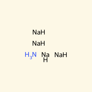 N.[NaH].[NaH].[NaH].[NaH]